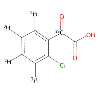 [2H]c1c([2H])c([2H])c([13C](=O)C(=O)O)c(Cl)c1[2H]